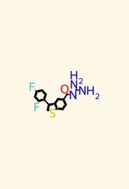 NC(N)=NC(=O)c1ccc2scc(-c3ccc(F)cc3F)c2c1